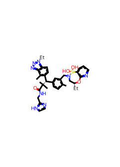 CC[C@@H]1CN(Cc2cc([C@@H](c3ccc4c(nnn4CC)c3C)C(C)(C)C(=O)NCc3ncc[nH]3)ccc2C)S(O)(O)c2cccnc2O1